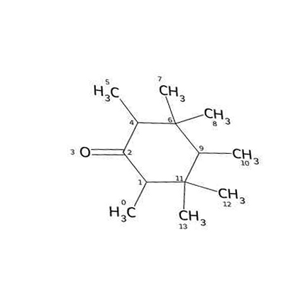 CC1C(=O)C(C)C(C)(C)C(C)C1(C)C